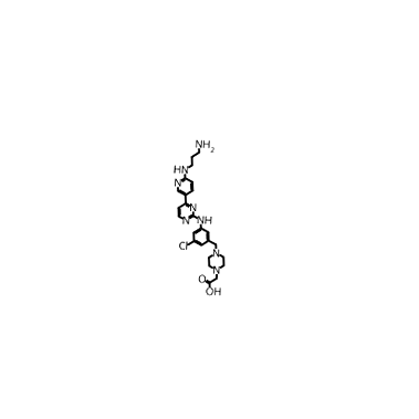 NCCCNc1ccc(-c2ccnc(Nc3cc(Cl)cc(CN4CCN(CC(=O)O)CC4)c3)n2)cn1